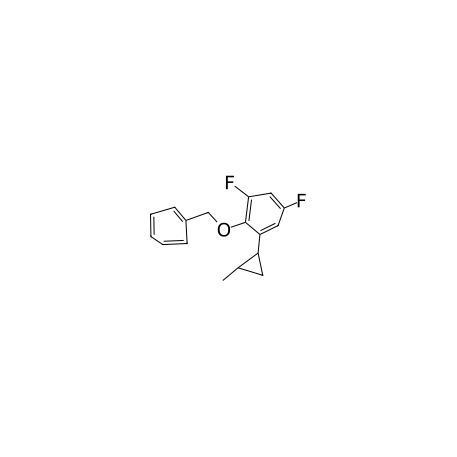 CC1CC1c1cc(F)cc(F)c1OCc1ccccc1